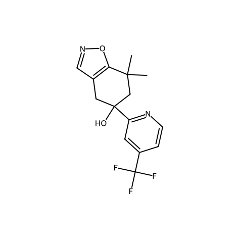 CC1(C)CC(O)(c2cc(C(F)(F)F)ccn2)Cc2cnoc21